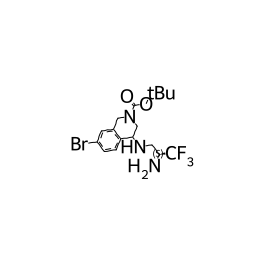 CC(C)(C)OC(=O)N1Cc2cc(Br)ccc2C(NC[C@H](N)C(F)(F)F)C1